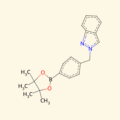 CC1(C)OB(c2ccc(Cn3cc4ccccc4n3)cc2)OC1(C)C